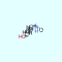 C[C@@H](NCc1ccccc1)[C@H]1CC[C@H]2[C@@H]3CC[C@@H]4C[C@](C)(O)CC[C@@H]4[C@H]3CC[C@]12C